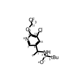 CC(N[S+]([O-])C(C)(C)C)c1cnc(OCC(F)(F)F)c(Cl)c1